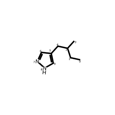 CCC(C)Cc1cn[nH]c1